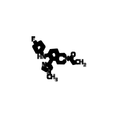 C=CC(=O)N1CCc2c(ccc(Nc3ccc(F)cc3)c2-c2cn(C)cn2)C1